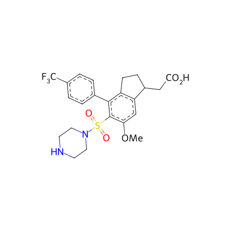 COc1cc2c(c(-c3ccc(C(F)(F)F)cc3)c1S(=O)(=O)N1CCNCC1)CCC2CC(=O)O